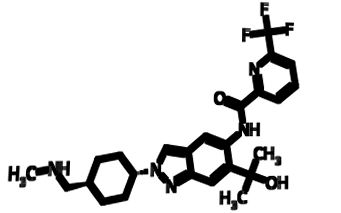 CNC[C@H]1CC[C@H](n2cc3cc(NC(=O)c4cccc(C(F)(F)F)n4)c(C(C)(C)O)cc3n2)CC1